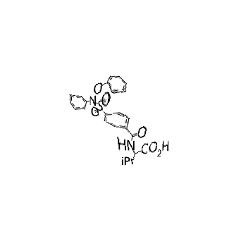 CC(C)C(NC(=O)c1ccc(S(=O)(=O)N(Oc2ccccc2)c2ccccc2)cc1)C(=O)O